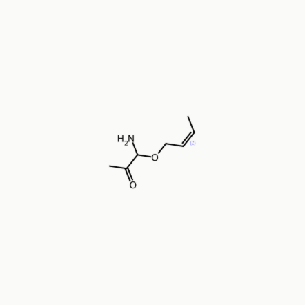 C/C=C\COC(N)C(C)=O